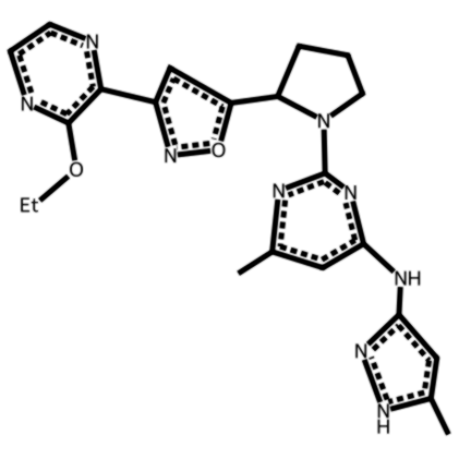 CCOc1nccnc1-c1cc(C2CCCN2c2nc(C)cc(Nc3cc(C)[nH]n3)n2)on1